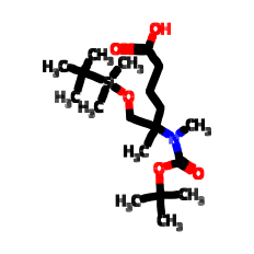 CN(C(=O)OC(C)(C)C)C(C)(CCCC(=O)O)CO[Si](C)(C)C(C)(C)C